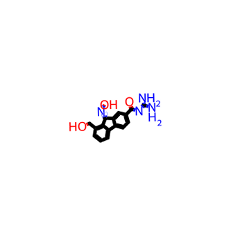 NC(N)=NC(=O)c1ccc2c(c1)/C(=N\O)c1c(CO)cccc1-2